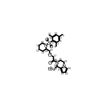 Cc1cc(C)c(S(=O)(=O)N2CCCCC2COCC(=O)N2CCn3cccc3C2C(C)(C)C)c(C)c1